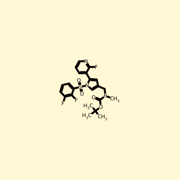 CN(Cc1cc(-c2cccnc2F)n(S(=O)(=O)c2cccc(F)c2F)c1)C(=O)OC(C)(C)C